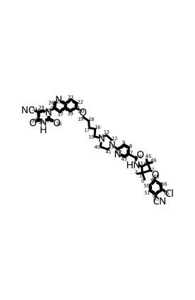 CC1(C)C(NC(=O)c2ccc(N3CCN(CCCCCOc4ccc5ncc(-n6cc(C#N)c(=O)[nH]c6=O)cc5c4)CC3)nc2)C(C)(C)C1Oc1ccc(C#N)c(Cl)c1